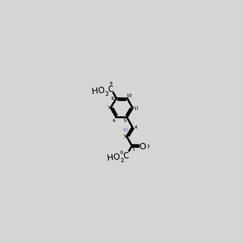 O=C(O)C(=O)/C=C/c1ccc(C(=O)O)cc1